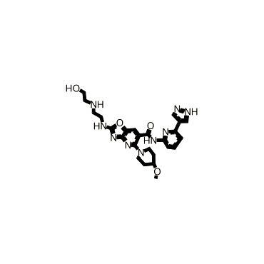 COC1CCN(c2nc3nc(NCCNCCO)oc3cc2C(=O)Nc2cccc(-c3cn[nH]c3)n2)CC1